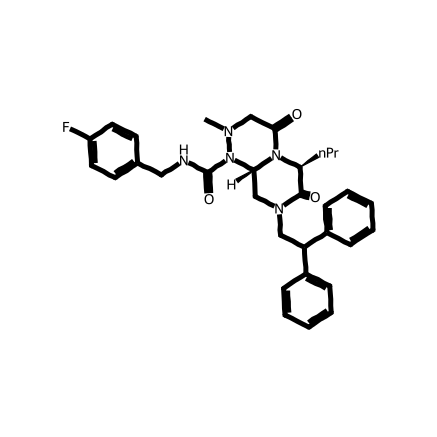 CCC[C@H]1C(=O)N(CC(c2ccccc2)c2ccccc2)C[C@H]2N1C(=O)CN(C)N2C(=O)NCc1ccc(F)cc1